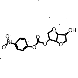 O=C(Oc1ccc([N+](=O)[O-])cc1)OC1COC2C(O)COC12